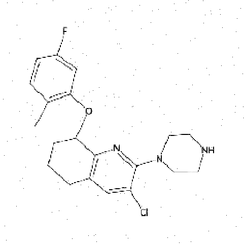 Cc1ccc(F)cc1OC1CCCc2cc(Cl)c(N3CCNCC3)nc21